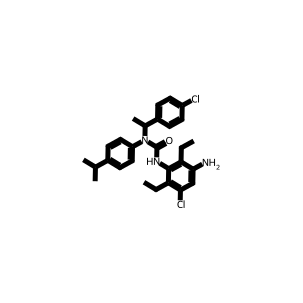 CCc1c(N)cc(Cl)c(CC)c1NC(=O)N(c1ccc(C(C)C)cc1)C(C)c1ccc(Cl)cc1